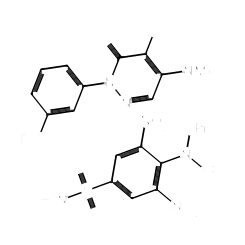 CCCN(CCC)c1c([N+](=O)[O-])cc(S(N)(=O)=O)cc1[N+](=O)[O-].CNc1cnn(-c2cccc(C(F)(F)F)c2)c(=O)c1Cl